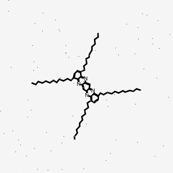 CCCCCCCCCCCCc1ccc(CCCCCCCCCCCC)c2nc3cc4nc5c(CCCCCCCCCCCC)ccc(CCCCCCCCCCCC)c5nc4cc3nc12